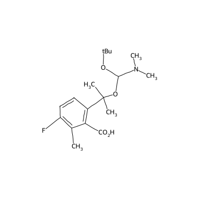 Cc1c(F)ccc(C(C)(C)OC(OC(C)(C)C)N(C)C)c1C(=O)O